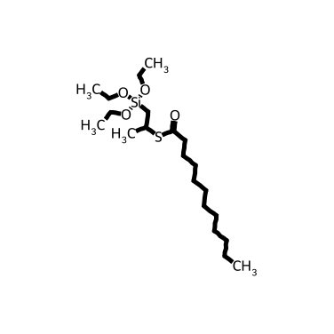 CCCCCCCCCCCC(=O)SC(C)C[Si](OCC)(OCC)OCC